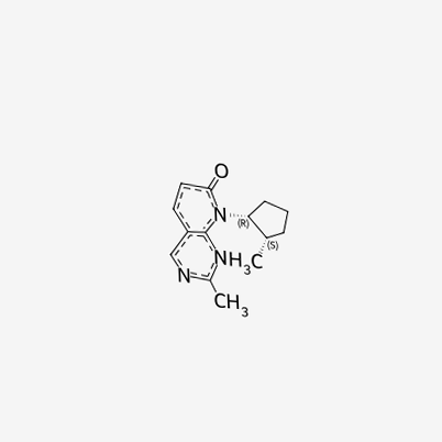 Cc1ncc2ccc(=O)n([C@@H]3CCC[C@@H]3C)c2n1